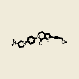 COCC#Cc1cc2c(s1)C(=O)N(c1ccc(N3CC[C@@H](N(C)C)C3)cc1)CC2